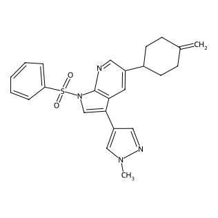 C=C1CCC(c2cnc3c(c2)c(-c2cnn(C)c2)cn3S(=O)(=O)c2ccccc2)CC1